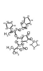 CC(C)=C1OC(=O)N(c2cc(OC3CCCC3)c(Cl)cc2F)C1=O.CN(C(=O)COc1nc2ccccc2s1)c1ccccc1